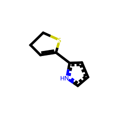 C1=C(c2ccc[nH]2)SCC1